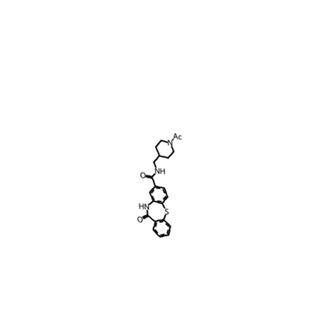 CC(=O)N1CCC(CNC(=O)c2ccc3c(c2)NC(=O)c2ccccc2S3)CC1